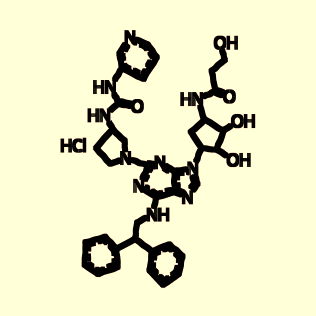 Cl.O=C(CCO)NC1CC(n2cnc3c(NCC(c4ccccc4)c4ccccc4)nc(N4CCC(NC(=O)Nc5cccnc5)C4)nc32)C(O)C1O